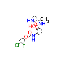 CC(NC(=O)C12CCCC(CC1)C(NC(=O)COc1ccc(Cl)c(F)c1)CC2O)C1CCCNC1